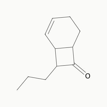 CCCC1C(=O)C2CCC=CC12